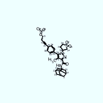 Cc1c(C(=O)NC23CC4CC(CC(C4)C2)C3)nn(C2CCS(=O)(=O)C2)c1-c1ccc(C#CCCO[N+](=O)[O-])cc1